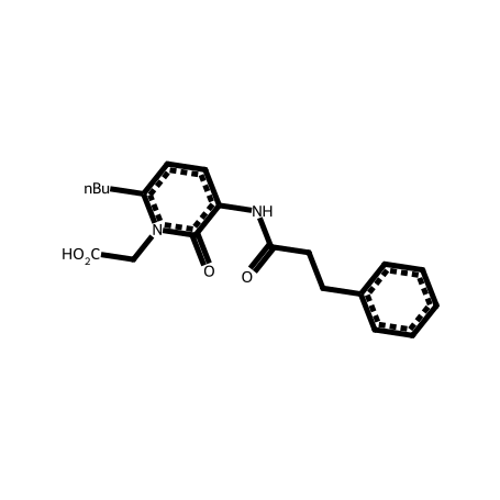 CCCCc1ccc(NC(=O)CCc2ccccc2)c(=O)n1CC(=O)O